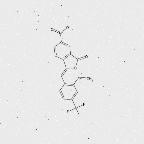 C=Cc1cc(C(F)(F)F)ccc1/C=C1\OC(=O)c2cc([N+](=O)[O-])ccc21